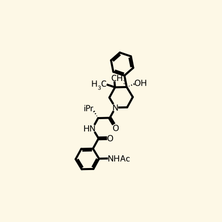 CC(=O)Nc1ccccc1C(=O)N[C@@H](C(=O)N1CC[C@](O)(c2ccccc2)C(C)(C)C1)C(C)C